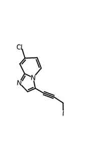 Clc1ccn2c(C#CCI)cnc2c1